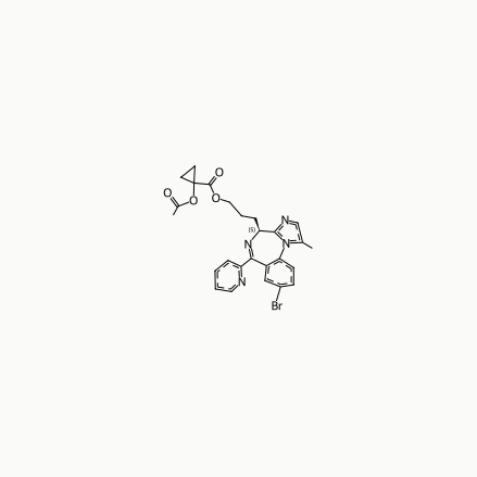 CC(=O)OC1(C(=O)OCCC[C@@H]2N=C(c3ccccn3)c3cc(Br)ccc3-n3c(C)cnc32)CC1